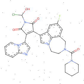 O=C(N1CCCCC1)N1CCn2cc(C3=C(c4cnc5ccccn45)C(=O)N(C(O)Cl)C3=O)c3cc(F)cc(c32)C1